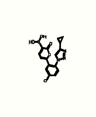 O=c1oc(-c2cc(Cl)ccc2-n2cc(C3CC3)nn2)ccc1B(O)O